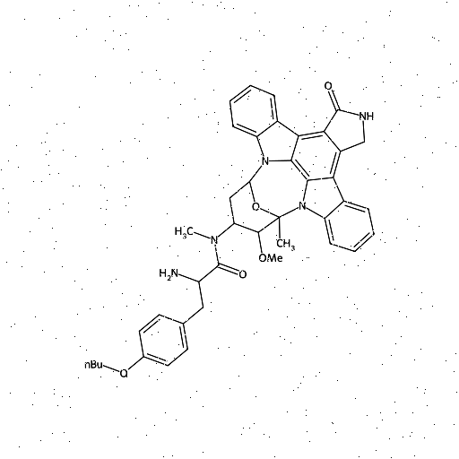 CCCCOc1ccc(CC(N)C(=O)N(C)C2CC3OC(C)(C2OC)n2c4ccccc4c4c5c(c6c7ccccc7n3c6c42)C(=O)NC5)cc1